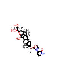 C[C@@H]1CC([C@H](O)C(C)(C)O)OC2C1[C@@]1(C)CCC34C[C@@]35CC[C@H](OC3CN([C@H]6CCCNC6=O)CCO3)C(C)(C)[C@@H]5CC[C@H]4[C@]1(C)[C@H]2O